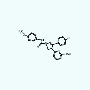 COc1cccc(C2CN(C(=O)Nc3ccc(OC(F)(F)F)cc3)N=C2c2ccc(Cl)cc2)n1